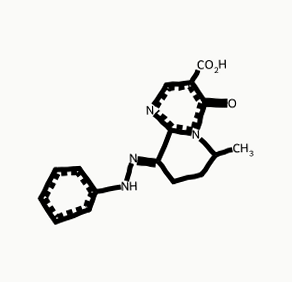 CC1CCC(=NNc2ccccc2)c2ncc(C(=O)O)c(=O)n21